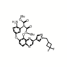 CC(C)(C)OC(=O)N(C(=O)OC(C)(C)C)c1cc(Oc2ccc3ncc(-c4cnn(CC5CC(F)(F)C5)c4)nc3c2Cl)ccc1N